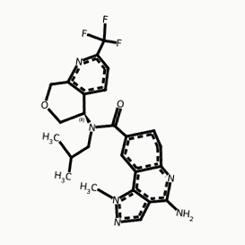 CC(C)CN(C(=O)c1ccc2nc(N)c3cnn(C)c3c2c1)[C@H]1COCc2nc(C(F)(F)F)ccc21